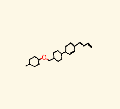 C=CCCC1C=CC(C2CCC(COC3CCC(C)CC3)CC2)CC1